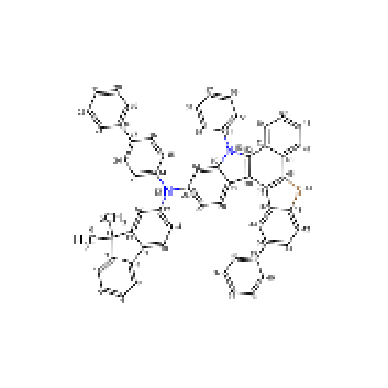 CC1(C)c2ccccc2-c2ccc(N(c3ccc(-c4ccccc4)cc3)c3ccc4c5c6c7cc(-c8ccccc8)ccc7sc6c6ccccc6c5n(-c5ccccc5)c4c3)cc21